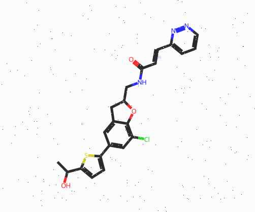 CC(O)c1ccc(-c2cc(Cl)c3c(c2)CC(CNC(=O)/C=C/c2cccnn2)O3)s1